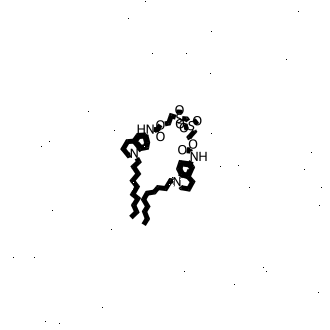 CCCCCCCCCCN1CCCc2cc(NC(=O)OCCS(=O)(=O)CS(=O)(=O)CCOC(=O)Nc3ccc4c(c3)CCCN4CCCCCCCCCC)ccc21